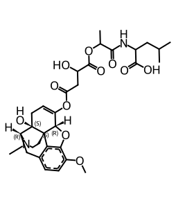 COc1ccc2c3c1O[C@H]1C(OC(=O)CC(O)C(=O)OC(C)C(=O)NC(CC(C)C)C(=O)O)=CC[C@@]4(O)[C@@H](C2)N(C)CC[C@]314